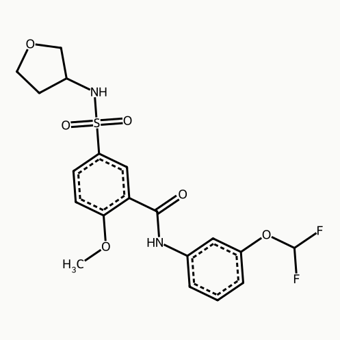 COc1ccc(S(=O)(=O)NC2CCOC2)cc1C(=O)Nc1cccc(OC(F)F)c1